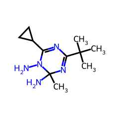 CC(C)(C)C1=NC(C)(N)N(N)C(C2CC2)=N1